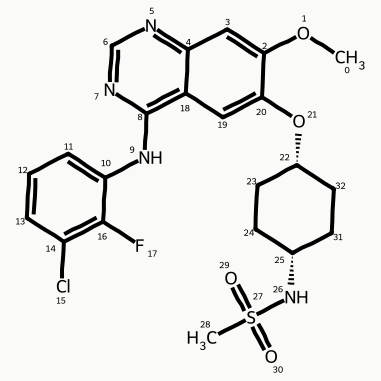 COc1cc2ncnc(Nc3cccc(Cl)c3F)c2cc1O[C@H]1CC[C@@H](NS(C)(=O)=O)CC1